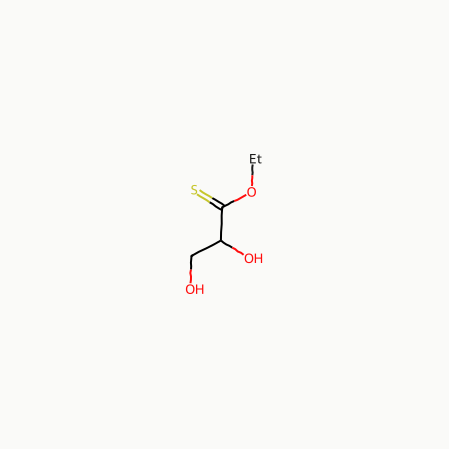 CCOC(=S)C(O)CO